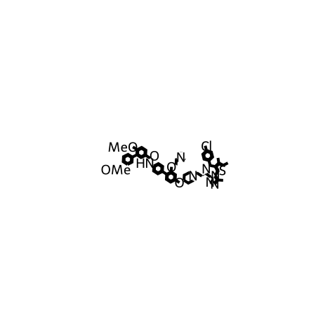 COc1cccc(-c2cc(C(=O)Nc3ccc(-c4ccc(OC5CCN(CC[C@@H]6N=C(c7ccc(Cl)cc7)c7c(sc(C)c7C)-n7c(C)nnc76)CC5)cc4OCCN(C)C)cc3)ccc2OC)c1